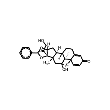 C[C@]12C=CC(=O)C=C1CC[C@H]1[C@@H]3C[C@H]4OC(c5ccccc5)O[C@@]4(C(=O)CO)[C@@]3(C)C[C@H](O)[C@@]12F